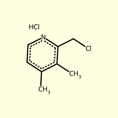 Cc1ccnc(CCl)c1C.Cl